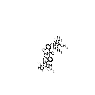 CC(C)(C)Nc1ncnc2c(NC(=O)c3cc(CNC(=O)C(C)(C)C)ccc3Cl)cccc12